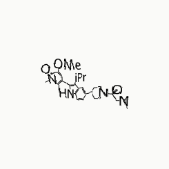 COc1cc(-c2[nH]c3ccc(C4CCN(C(=O)CN(C)C)CC4)cc3c2C(C)C)c(C)n(C)c1=O